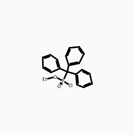 CCOP(=O)(Cl)C(c1ccccc1)(c1ccccc1)c1ccccc1